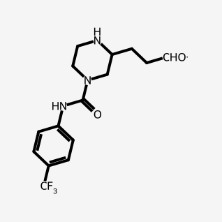 O=[C]CCC1CN(C(=O)Nc2ccc(C(F)(F)F)cc2)CCN1